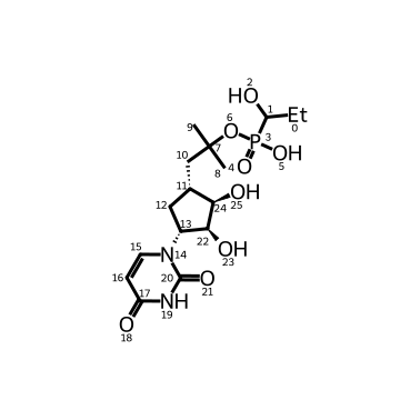 CCC(O)P(=O)(O)OC(C)(C)C[C@H]1C[C@@H](n2ccc(=O)[nH]c2=O)[C@H](O)[C@@H]1O